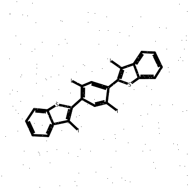 Ic1cc(-c2sc3ccccc3c2I)c(I)cc1-c1sc2ccccc2c1I